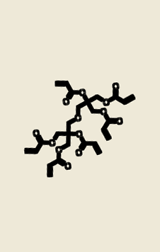 C=CC(=O)OCC(COCC(COC(=O)C=C)(COC(=O)C=C)OC(=O)C=C)(COC(=O)C=C)OC(=O)C=C